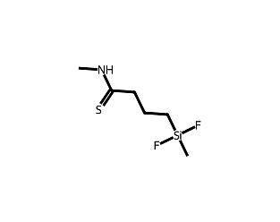 CNC(=S)CCC[Si](C)(F)F